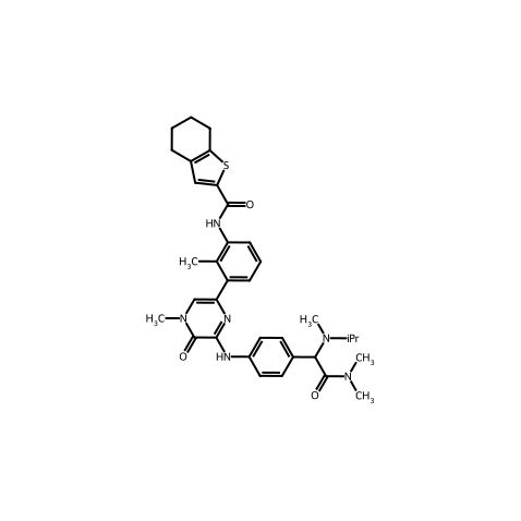 Cc1c(NC(=O)c2cc3c(s2)CCCC3)cccc1-c1cn(C)c(=O)c(Nc2ccc(C(C(=O)N(C)C)N(C)C(C)C)cc2)n1